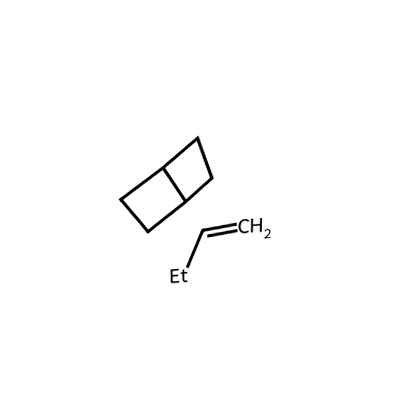 C1CC2CCC12.C=CCC